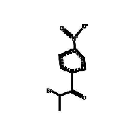 CC(Br)C(=O)c1ccc([N+](=O)[O-])cc1